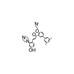 Cc1cc(C)cc(-c2ccc(OCCN(C)C)c(C(=O)/C=C/c3ccc(O)cc3N3CCN(C)CC3)c2)c1